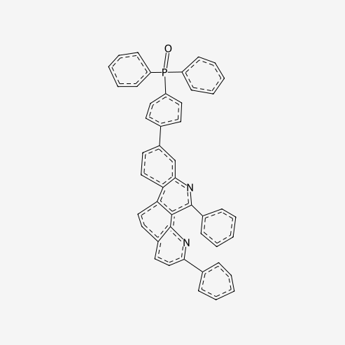 O=P(c1ccccc1)(c1ccccc1)c1ccc(-c2ccc3c(c2)nc(-c2ccccc2)c2c3ccc3ccc(-c4ccccc4)nc32)cc1